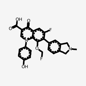 CN1Cc2ccc(-c3c(F)cc4c(=O)c(C(=O)O)cn(-c5ccc(O)cc5)c4c3OCF)cc2C1